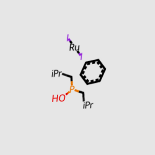 CC(C)CP(O)CC(C)C.[I][Ru][I].c1ccccc1